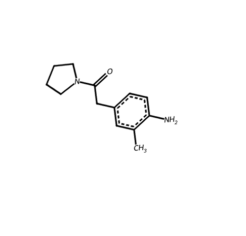 Cc1cc(CC(=O)N2CCCC2)ccc1N